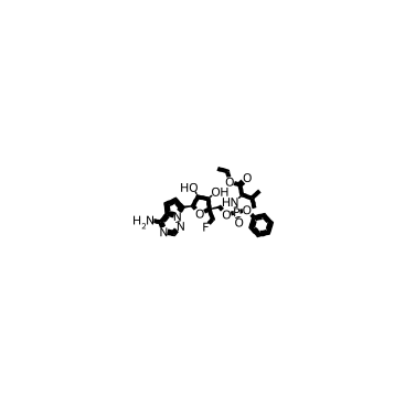 CCOC(=O)[C@@H](NP(=O)(OC[C@@]1(CF)O[C@@H](c2ccc3c(N)ncnn23)[C@H](O)[C@@H]1O)Oc1ccccc1)C(C)C